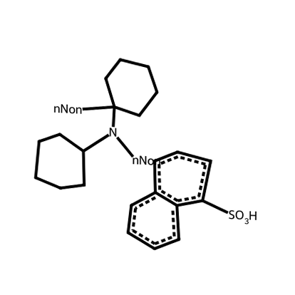 CCCCCCCCCN(C1CCCCC1)C1(CCCCCCCCC)CCCCC1.O=S(=O)(O)c1cccc2ccccc12